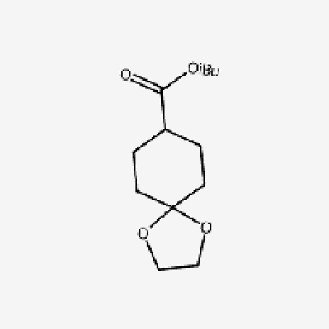 CC(C)COC(=O)C1CCC2(CC1)OCCO2